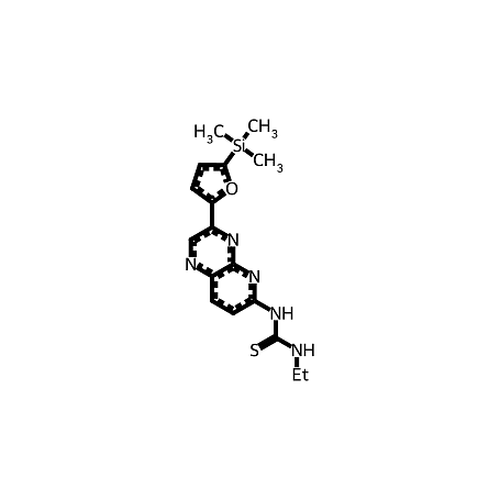 CCNC(=S)Nc1ccc2ncc(-c3ccc([Si](C)(C)C)o3)nc2n1